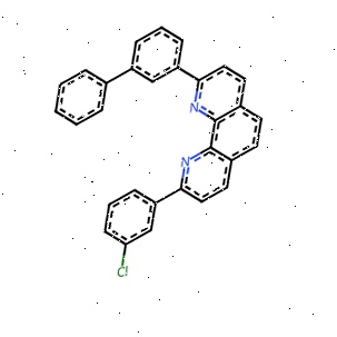 Clc1cccc(-c2ccc3ccc4ccc(-c5cccc(-c6ccccc6)c5)nc4c3n2)c1